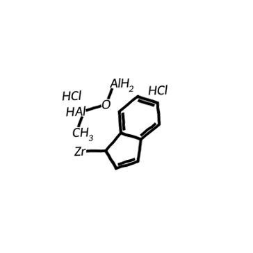 Cl.Cl.[CH3][AlH][O][AlH2].[Zr][CH]1C=Cc2ccccc21